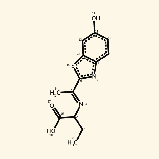 CCC(/N=C(\C)c1nc2ccc(O)cc2s1)C(=O)O